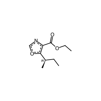 CCOC(=O)c1ncoc1[C@H](C)CC